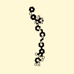 Nc1ncnc2c1c(-c1ccc(Oc3ccccc3)cc1)nn2C1CCCN(CC2CCN(CCN3CCC(c4ccc5c(c4)C(=O)N(C4CCC(=O)NC4=O)C5=O)CC3)CC2)C1